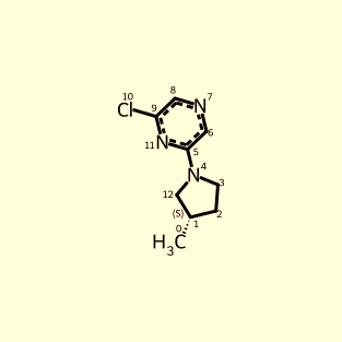 C[C@H]1CCN(c2cncc(Cl)n2)C1